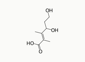 CC(C(=O)O)=C(C)C(O)CCO